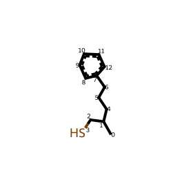 CC(CS)CCCc1ccccc1